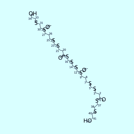 O=C(CCSCSCCC[S+]([O-])CSCSCSC(=O)CCSCSCCC[S+]([O-])CCSCCO)SCCSCCO